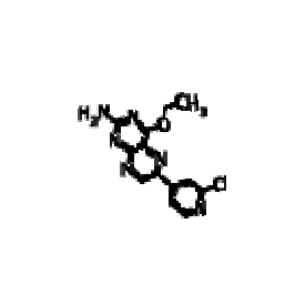 CCOc1nc(N)nc2ncc(-c3ccnc(Cl)c3)nc12